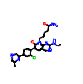 CCNc1ncc2cc(-c3ccc(-c4cncc(C)n4)cc3Cl)c(=O)n(CCCCC(N)=O)c2n1